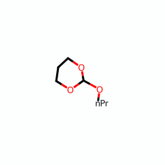 CCCOC1OCCCO1